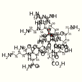 CC(C)[C@H](NC(=O)[C@H](CCC(=O)O)NC(=O)[C@H](CO)NC(=O)[C@H](CCCCN)NC(=O)[C@H](CCCNC(=N)N)NC(=O)[C@H](C)NC(=O)[C@H](CC(=O)O)NC(=O)CC(CNCCN)CNCCN)C(=O)N[C@@H](CCC(N)=O)C(=O)N[C@@H](CCCCN)C(N)=O